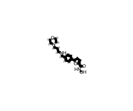 O=C(NO)C1=CCC(c2ccc(CNCCCN3CCOCC3)cc2)O1